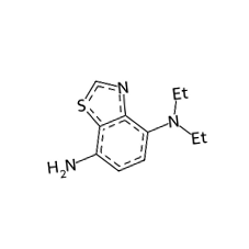 CCN(CC)c1ccc(N)c2scnc12